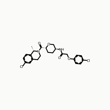 C[C@H]1c2ccc(Cl)cc2CCN1C(=O)[C@H]1CC[C@H](NC(=O)COc2ccc(Cl)cc2)CO1